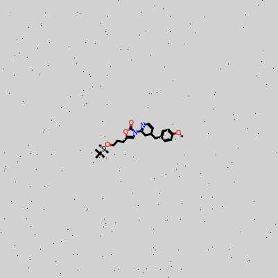 COc1ccc(CC2C=CN=C(n3cc(CCCO[Si](C)(C)C(C)(C)C)oc3=O)C2)cc1